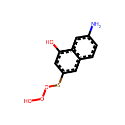 Nc1ccc2cc(SOOO)cc(O)c2c1